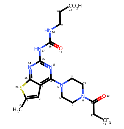 Cc1cc2c(N3CCN(C(=O)CC(F)(F)F)CC3)nc(NC(=O)NCCC(=O)O)nc2s1